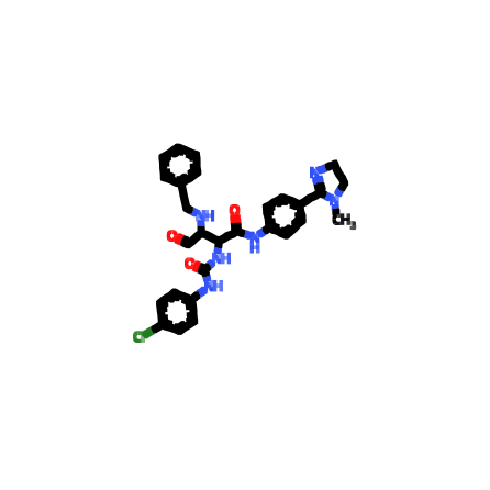 CN1CCN=C1c1ccc(NC(=O)C(NC(=O)Nc2ccc(Cl)cc2)C(C=O)NCc2ccccc2)cc1